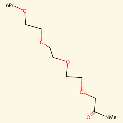 CCCOCCOCCOCCOCC(=O)NC